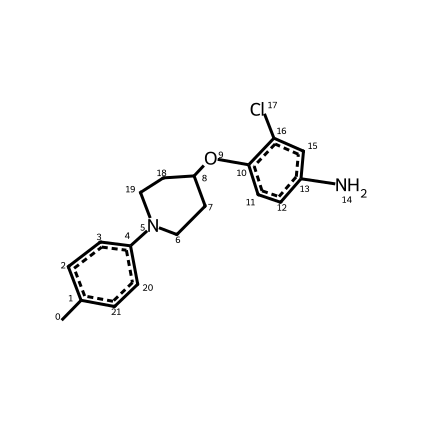 Cc1ccc(N2CCC(Oc3ccc(N)cc3Cl)CC2)cc1